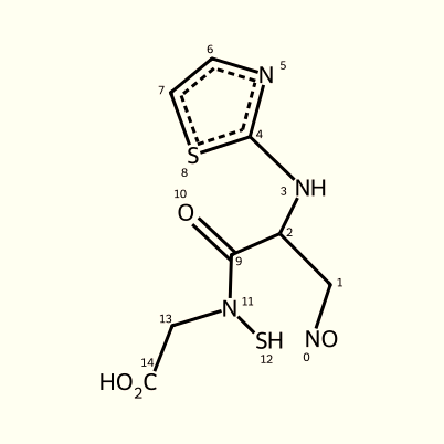 O=NCC(Nc1nccs1)C(=O)N(S)CC(=O)O